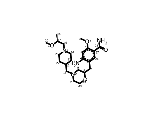 COc1cc(N)c(CC2CN(CC3CCN(C[C@H](C)OC)CC3)CCO2)cc1C(N)=O